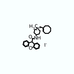 C[N+]1(CC2=CCCCCCC2)CCC(NC(=O)C2c3ccccc3Oc3ccccc32)CC1.[I-]